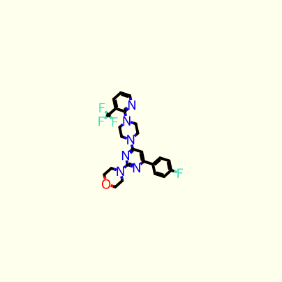 Fc1ccc(-c2cc(N3CCN(c4ncccc4C(F)(F)F)CC3)nc(N3CCOCC3)n2)cc1